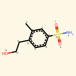 Cc1cc(S(N)(=O)=O)ccc1CCO